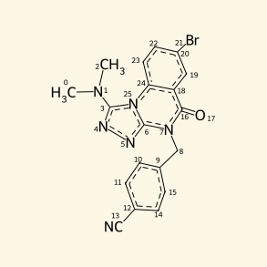 CN(C)c1nnc2n(Cc3ccc(C#N)cc3)c(=O)c3cc(Br)ccc3n12